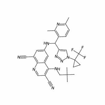 Cc1ccc(C(Nc2cc(C#N)c3ncc(C#N)c(NCC(C)(C)C)c3c2)c2cn(C3(C(F)(F)F)CC3)nn2)c(C)n1